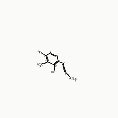 Cc1c(F)ccc(C=CC(=O)O)c1F